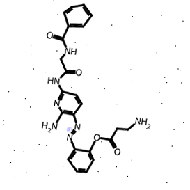 NCCC(=O)Oc1ccccc1/N=N/c1ccc(NC(=O)CNC(=O)c2ccccc2)nc1N